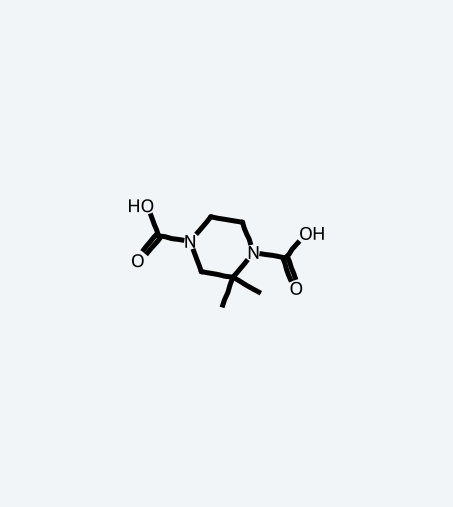 CC1(C)CN(C(=O)O)CCN1C(=O)O